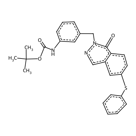 CC(C)(C)OC(=O)Nc1cccc(Cn2ncc3cc(Sc4ccccc4)ccc3c2=O)c1